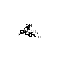 CCCc1ccc(Cc2c(C)n(CC(=O)O)c3ccc(F)cc23)cc1C